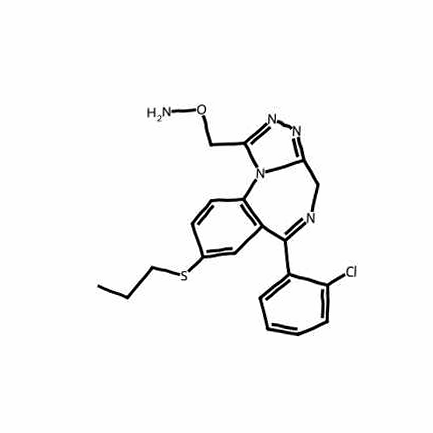 CCCSc1ccc2c(c1)C(c1ccccc1Cl)=NCc1nnc(CON)n1-2